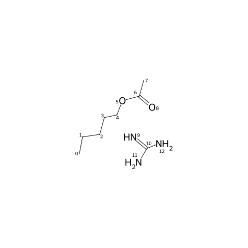 CCCCCOC(C)=O.N=C(N)N